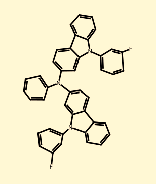 Fc1cccc(-n2c3ccccc3c3ccc(N(c4ccccc4)c4ccc5c6ccccc6n(-c6cccc(F)c6)c5c4)cc32)c1